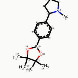 CC(=O)N1CCCC1c1ccc(B2OC(C)(C)C(C)(C)O2)cc1